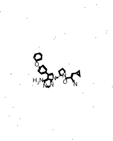 N#C/C(=C\C1CC1)C(=O)N1CCC[C@H]1Cn1cc(-c2ccc(Oc3ccccc3)cc2)c2c(N)ncnc21